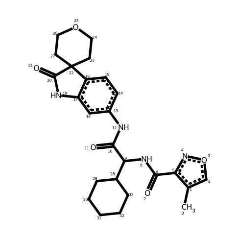 Cc1conc1C(=O)NC(C(=O)Nc1ccc2c(c1)NC(=O)C21CCOCC1)C1CCCCC1